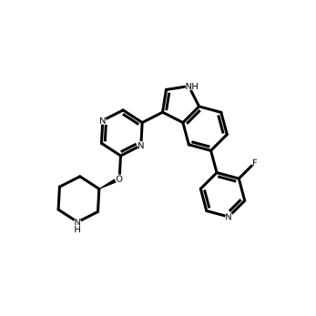 Fc1cnccc1-c1ccc2[nH]cc(-c3cncc(O[C@@H]4CCCNC4)n3)c2c1